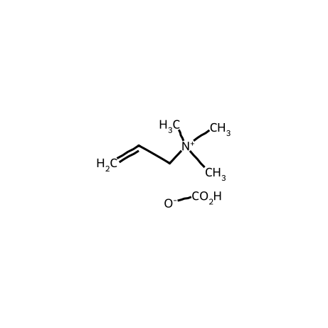 C=CC[N+](C)(C)C.O=C([O-])O